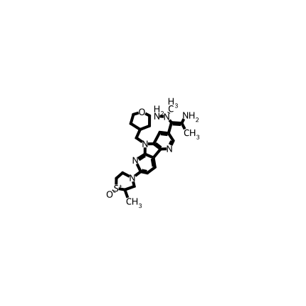 C/C(N)=C(\c1cnc2c3ccc(N4CC[S+]([O-])C(C)C4)nc3n(CC3CCOCC3)c2c1)N(C)N